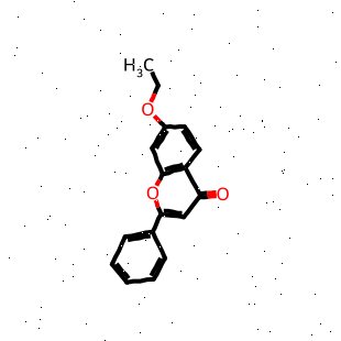 CCOc1ccc2c(=O)cc(-c3ccccc3)oc2c1